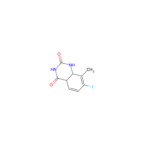 CC1=C(F)C=CC2C(=O)NC(=O)NC12